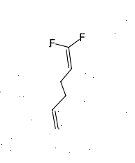 [CH]=CCCC=C(F)F